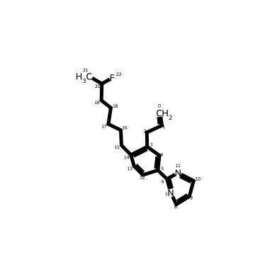 C=CCc1cc(-c2ncccn2)ccc1CCCCCC(C)F